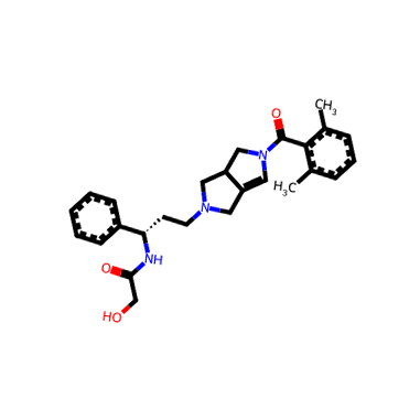 Cc1cccc(C)c1C(=O)N1C=C2CN(CC[C@H](NC(=O)CO)c3ccccc3)CC2C1